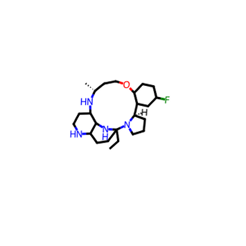 CCC12CCC3NCCC(N[C@H](C)CCOC4CCC(F)CC4[C@H]4CCCN41)C3N2